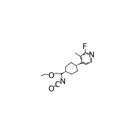 CCOCC(N=C=O)[C@H]1CC[C@@H](c2ccnc(F)c2C)CC1